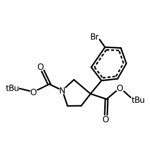 CC(C)(C)OC(=O)N1CCC(C(=O)OC(C)(C)C)(c2cccc(Br)c2)C1